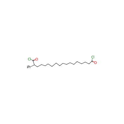 CC(C)C(CCCCCCCCCCCCCCCC(=O)Cl)C(=O)Cl